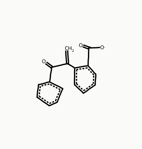 C=C(C(=O)c1ccccc1)c1ccccc1C([O])=O